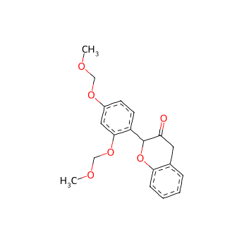 COCOc1ccc(C2Oc3ccccc3CC2=O)c(OCOC)c1